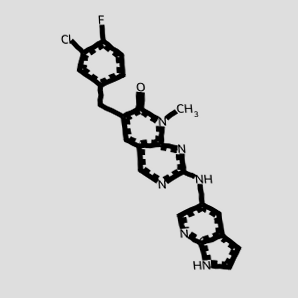 Cn1c(=O)c(Cc2ccc(F)c(Cl)c2)cc2cnc(Nc3cnc4[nH]ccc4c3)nc21